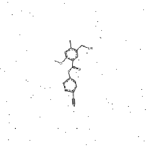 COc1cc(C)c(CO)cc1C(=O)Oc1ccc(C#N)cc1